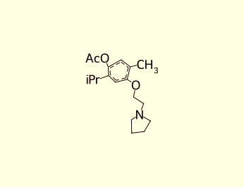 CC(=O)Oc1cc(C)c(OCCN2CCCC2)cc1C(C)C